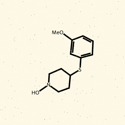 COc1cccc(SC2CCN(O)CC2)c1